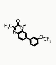 Cn1c(=O)c(C(F)(F)F)nc2ccc(-c3cccc(OC(F)(F)F)c3)cc21